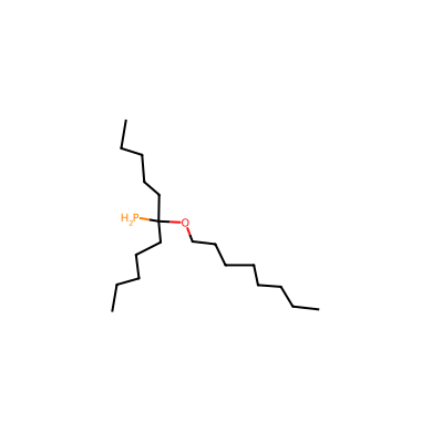 CCCCCCCCOC(P)(CCCCC)CCCCC